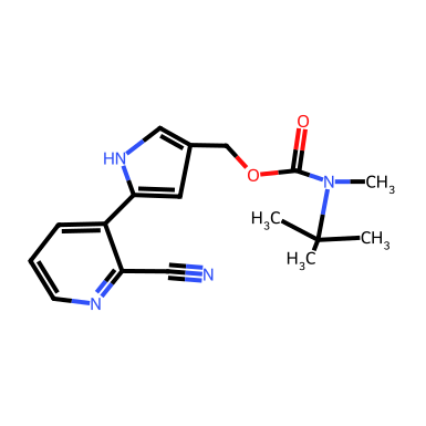 CN(C(=O)OCc1c[nH]c(-c2cccnc2C#N)c1)C(C)(C)C